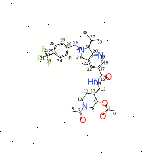 CC(=O)O[C@@H]1CN(C(C)=O)CC[C@H]1CNC(=O)c1cnc2c(c1)CN(Cc1ccc(C(F)(F)F)cc1)[C@H]2C(C)C